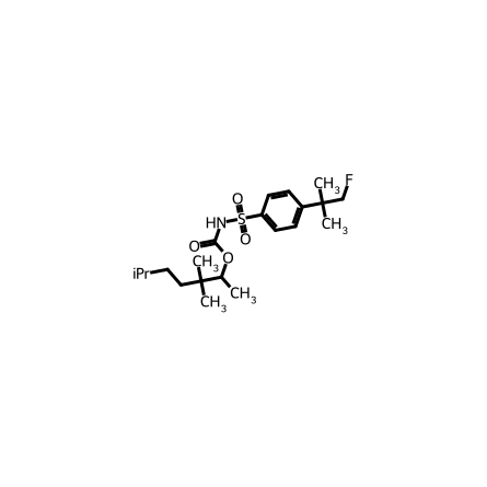 CC(C)CCC(C)(C)C(C)OC(=O)NS(=O)(=O)c1ccc(C(C)(C)CF)cc1